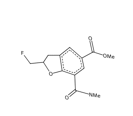 CNC(=O)c1cc(C(=O)OC)cc2c1OC(CF)C2